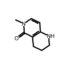 Cn1ccc2c(c1=O)CCCN2